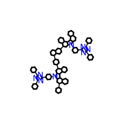 c1ccc(-c2nc(-c3ccccc3)nc(-c3ccc(-n4c5cc(-c6ccccc6)c6ccccc6c5c5c6ccccc6c(-c6ccc(-c7cccc8cc(-c9cc%10c(c%11ccccc9%11)c9c%11ccccc%11ccc9n%10-c9cccc(-c%10nc(-c%11ccccc%11)nc(-c%11ccccc%11)n%10)c9)ccc78)cc6)cc54)cc3)n2)cc1